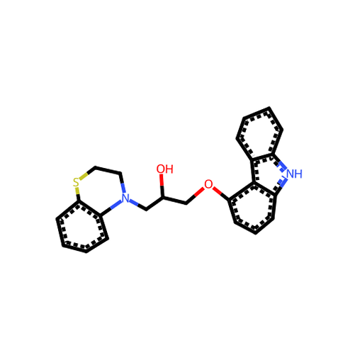 OC(COc1cccc2[nH]c3ccccc3c12)CN1CCSc2ccccc21